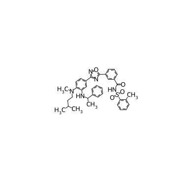 Cc1ccccc1S(=O)(=O)NC(=O)c1cccc(-c2nc(-c3ccc(N(C)CCC(C)C)c(NC(C)c4ccccc4)c3)no2)c1